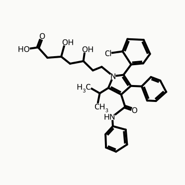 CC(C)c1c(C(=O)Nc2ccccc2)c(-c2ccccc2)c(-c2ccccc2Cl)n1CCC(O)CC(O)CC(=O)O